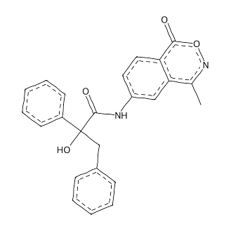 Cc1noc(=O)c2ccc(NC(=O)C(O)(Cc3ccccc3)c3ccccc3)cc12